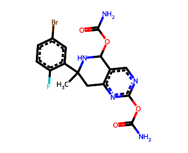 CC1(c2cc(Br)ccc2F)Cc2nc(OC(N)=O)ncc2C(OC(N)=O)N1